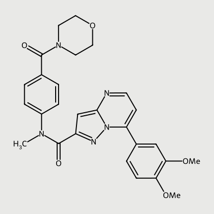 COc1ccc(-c2ccnc3cc(C(=O)N(C)c4ccc(C(=O)N5CCOCC5)cc4)nn23)cc1OC